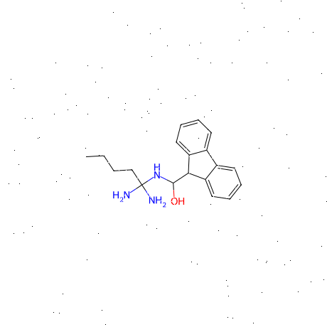 CCCCC(N)(N)NC(O)C1c2ccccc2-c2ccccc21